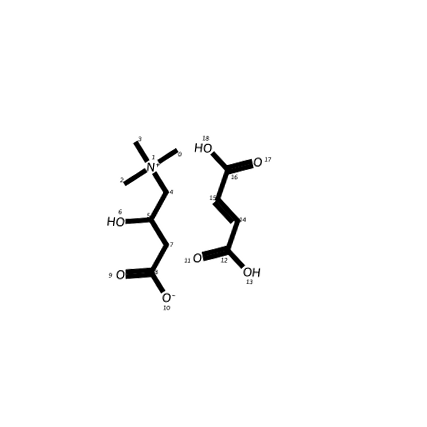 C[N+](C)(C)CC(O)CC(=O)[O-].O=C(O)C=CC(=O)O